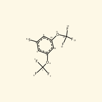 FC(F)(F)Oc1cc([S])cc(OC(F)(F)F)c1